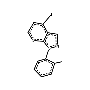 Cc1ccccc1-n1ncc2c(I)ccnc21